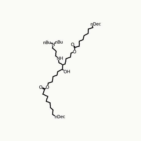 CCCCCCCCCCCCCCCCCC(=O)OCCCCCC(O)C(CCCCOC(=O)CCCCCCCCCCCCCCCCC)CNCCCN(CCCC)CCCC